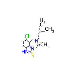 CCC(=CCN1Cc2c(Cl)ccc3[nH]c(=S)n(c23)C[C@@H]1C)CC